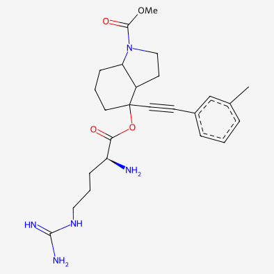 COC(=O)N1CCC2C1CCCC2(C#Cc1cccc(C)c1)OC(=O)[C@@H](N)CCCNC(=N)N